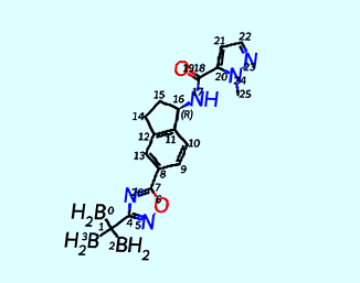 BC(B)(B)c1noc(-c2ccc3c(c2)CC[C@H]3NC(=O)c2ccnn2C)n1